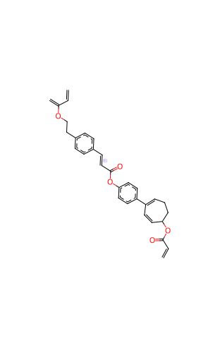 C=CC(=C)OCCc1ccc(/C=C/C(=O)Oc2ccc(C3=CCCC(OC(=O)C=C)C=C3)cc2)cc1